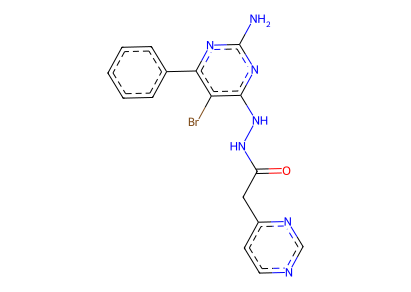 Nc1nc(NNC(=O)Cc2ccncn2)c(Br)c(-c2ccccc2)n1